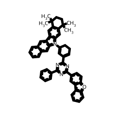 CC1(C)CCC(C)(C)c2cc3c(cc21)c1cc2ccccc2cc1n3C1=CC(c2nc(-c3ccccc3)nc(-c3ccc4oc5ccccc5c4c3)n2)=CCC1